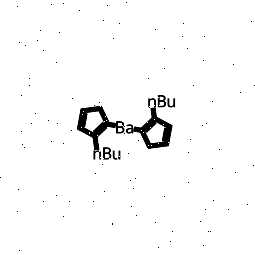 CCCCC1=[C]([Ba][C]2=C(CCCC)C=CC2)CC=C1